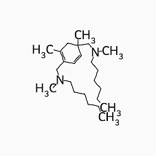 CCCCCCN(C)CC1=C(C)CC(C)(CN(C)CCCCCC)C=C1